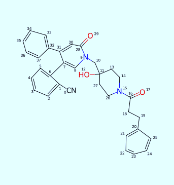 N#Cc1ccccc1-c1cn(CC2(O)CCN(C(=O)CCc3ccccc3)CC2)c(=O)cc1-c1ccccc1